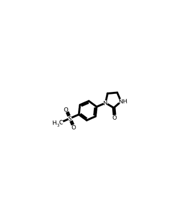 CS(=O)(=O)c1ccc(N2CCNC2=O)cc1